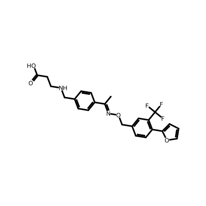 C/C(=N\OCc1ccc(-c2ccco2)c(C(F)(F)F)c1)c1ccc(CNCCC(=O)O)cc1